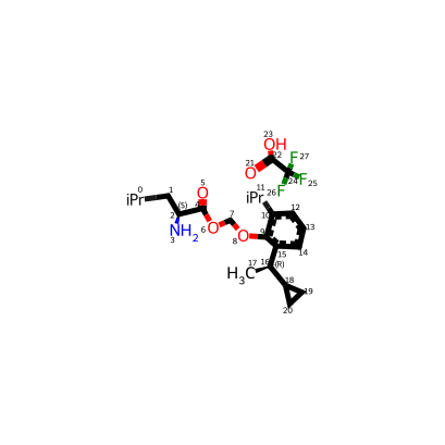 CC(C)C[C@H](N)C(=O)OCOc1c(C(C)C)cccc1[C@H](C)C1CC1.O=C(O)C(F)(F)F